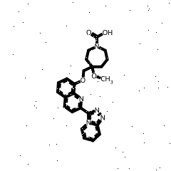 COC1(COc2cccc3ccc(-c4nnc5ccccn45)nc23)CCCN(C(=O)O)CC1